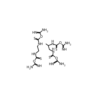 CC(CNC(=S)OC(=N)N)NC(=S)OC(=N)N.N=C(N)OC(=S)NCCNC(=S)OC(=N)N